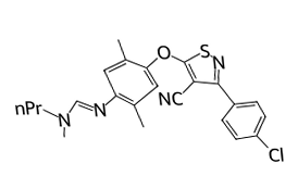 CCCN(C)C=Nc1cc(C)c(Oc2snc(-c3ccc(Cl)cc3)c2C#N)cc1C